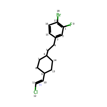 Fc1cc(CCC2CCC(/C=C/Cl)CC2)ccc1Br